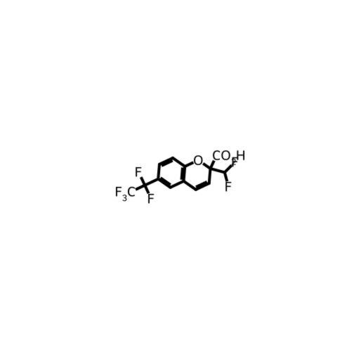 O=C(O)C1(C(F)F)C=Cc2cc(C(F)(F)C(F)(F)F)ccc2O1